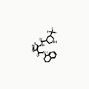 O=C(NC1CCCc2ccccc21)c1nnsc1NC(=O)C1CNCC(C(F)(F)F)C1